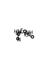 O=C(Nc1ccc(F)c(Cc2c[nH]c3ncc(-c4cccnc4)cc23)c1F)OCc1ccccc1